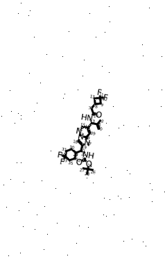 C=C(C)[C@H](NC(=O)CC1CC(F)(F)C1)c1cnn2cc([C@@H](NC(=O)OC(C)(C)C)C3CCC(F)(F)CC3)nc2c1